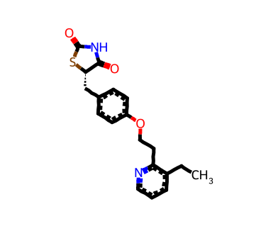 CCc1cccnc1CCOc1ccc(C[C@@H]2SC(=O)NC2=O)cc1